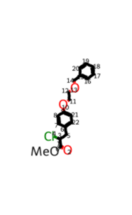 COC(=O)C(Cl)Cc1ccc(OCCOCc2ccccc2)cc1